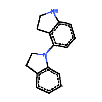 [c]1ccc2c(c1)N(c1cccc3c1CCN3)CC2